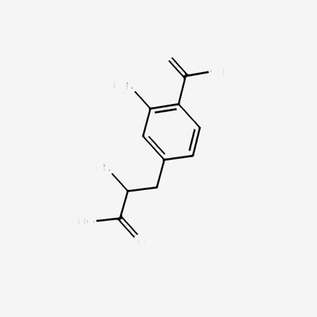 CC(=O)c1ccc(CC(N)C(=O)O)cc1N